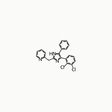 Clc1cccc(-c2nc(Cc3ccccn3)[nH]c2-c2ccccc2)c1Cl